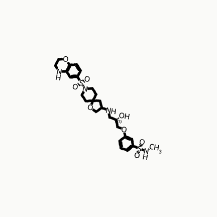 CNS(=O)(=O)c1cccc(OC[C@@H](O)CNC2COC3(CCN(S(=O)(=O)c4ccc5c(c4)NCCO5)CC3)C2)c1